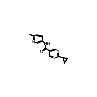 Cc1ccc(NC(=O)c2cnc(C3CC3)nc2)cn1